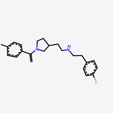 C=C(c1ccc(C)cc1)N1CCC(CCNCCc2ccc(F)cc2)C1